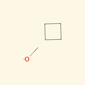 C1CCC1.C[O]